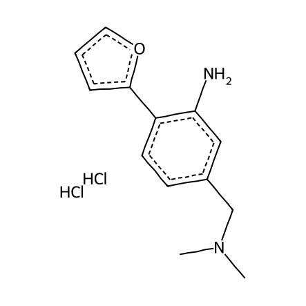 CN(C)Cc1ccc(-c2ccco2)c(N)c1.Cl.Cl